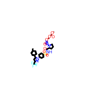 COC(=O)OCOn1on1N1CCCC1C(=O)NS(=O)(=O)c1ccc(-n2nc(C(F)(F)F)cc2-c2ccc(C)cc2)cc1